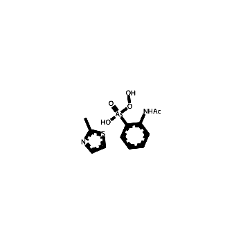 CC(=O)Nc1ccccc1[As](=O)(O)OO.Cc1nccs1